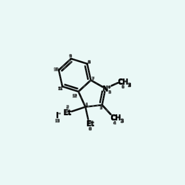 CCC1(CC)C(C)=[N+](C)c2ccccc21.[I-]